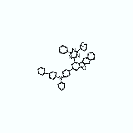 c1ccc(-c2ccc(N(c3ccccc3)c3ccc(-c4cc(-c5nc(-c6ccccc6)nc(-c6ccccc6)n5)c5c(c4)oc4cc6ccccc6cc45)cc3)cc2)cc1